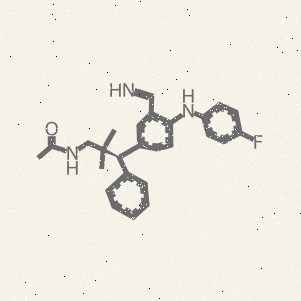 CC(=O)NCC(C)(C)[C@H](c1ccccc1)c1ccc(Nc2ccc(F)cc2)c(C=N)c1